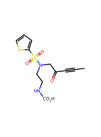 CC#CC(=O)CN(CCNC(=O)O)S(=O)(=O)c1cccs1